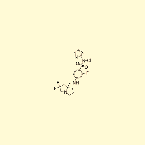 O=S(=O)(c1ccc(NCC23CCCN2CC(F)(F)C3)cc1F)N(Cl)c1nccs1